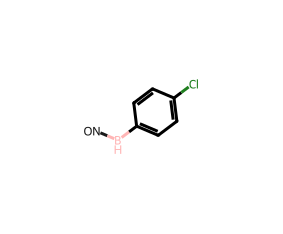 O=NBc1ccc(Cl)cc1